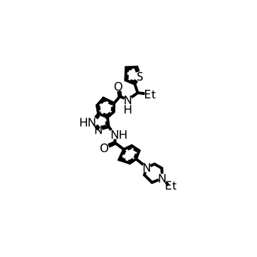 CCC(NC(=O)c1ccc2[nH]nc(NC(=O)c3ccc(N4CCN(CC)CC4)cc3)c2c1)c1cccs1